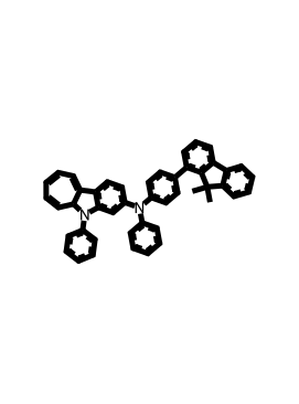 CC1(C)c2ccccc2-c2cccc(-c3ccc(N(c4ccccc4)c4ccc5c(c4)N(c4ccccc4)C4C=CC=CC=C54)cc3)c21